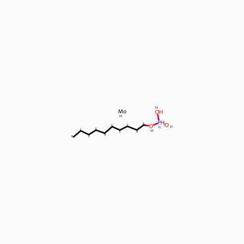 CCCCCCCCCCO[PH](=O)O.[Mo]